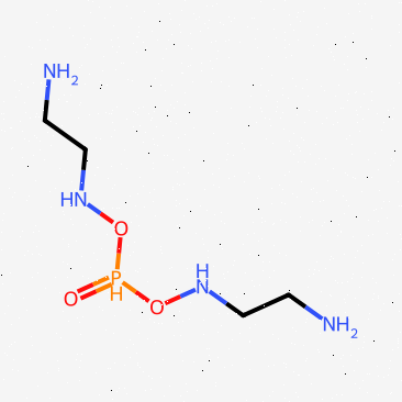 NCCNO[PH](=O)ONCCN